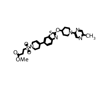 COC(=O)CCS(=O)(=O)N1CC=C(c2ccc3nc(OC4CCN(c5cnc(C)cn5)CC4)sc3c2)CC1